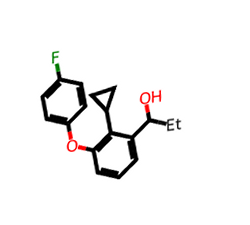 [CH2]CC(O)c1cccc(Oc2ccc(F)cc2)c1C1CC1